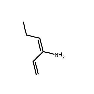 C=C/C(N)=C\CC